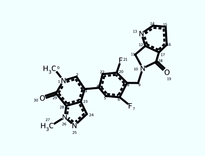 Cn1cc(-c2cc(F)c(CN3Cc4ncccc4C3=O)c(F)c2)c2cnn(C)c2c1=O